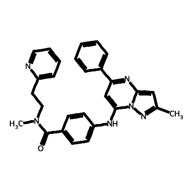 Cc1cc2nc(-c3ccccc3)cc(Nc3ccc(C(=O)N(C)CCc4ccccn4)cc3)n2n1